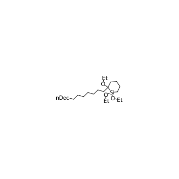 CCCCCCCCCCCCCCCCCC1(OCC)CCCC[Si]1(OCC)OCC